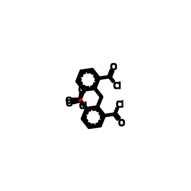 O=C(Cl)c1cccc(C(=O)Cl)c1Cc1c(C(=O)Cl)cccc1C(=O)Cl